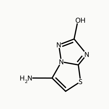 Nc1csc2nc(O)nn12